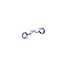 c1ccc(C/N=N\Cc2ccccn2)nc1